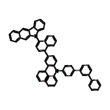 c1ccc(-c2cccc(-c3ccc(N(c4ccccc4)c4ccc(-c5ccc(-n6c7ccccc7c7cc8ccccc8cc76)c6ccccc56)cc4-c4ccccc4)cc3)c2)cc1